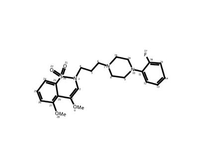 COC1=CN(CCCN2CCN(c3ccccc3F)CC2)S(=O)(=O)c2cccc(OC)c21